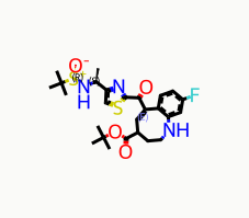 C[C@H](N[S@@+]([O-])C(C)(C)C)c1csc(C(=O)/C2=C/C(C(=O)OC(C)(C)C)CCNc3cc(F)ccc32)n1